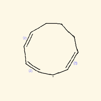 [CH]1/C=C\C=C/CCC/C=C\1